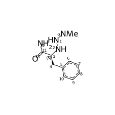 CNNN[C@@H](Cc1ccccc1)C(N)=O